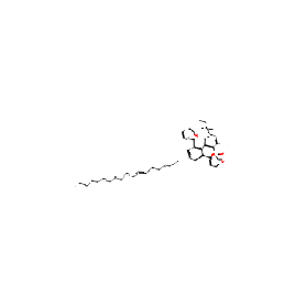 CCCCCCCCCCCCCCCCCCOc1cc(-c2ccccc2)c(-c2c(O)c(C(C)(C)CC)cc(O)c2C(C)(C)CC)c(-c2ccccc2)c1